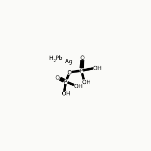 O=P(O)(O)OP(=O)(O)O.[Ag].[PbH2]